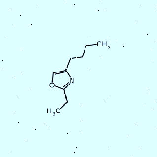 CCCCc1coc(CC)n1